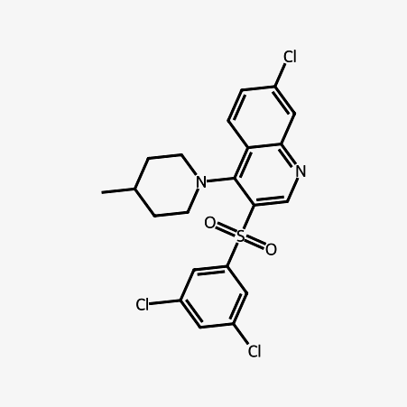 CC1CCN(c2c(S(=O)(=O)c3cc(Cl)cc(Cl)c3)cnc3cc(Cl)ccc23)CC1